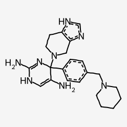 NC1=CNC(N)=NC1(c1ccc(CN2CCCCC2)cc1)N1CCc2[nH]cnc2C1